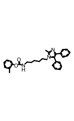 Cc1ccccc1OC(=O)NCCCCCCn1c(C)nc(-c2ccccc2)c1-c1ccccc1